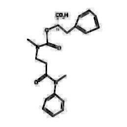 CN(CCC(=O)N(C)c1ccccc1)C(=O)O[C@@H](Cc1ccccc1)C(=O)O